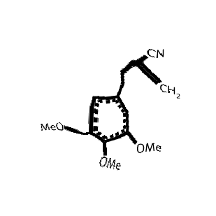 C=C(C#N)Cc1cc(OC)c(OC)c(OC)c1